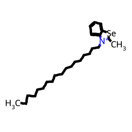 CCCCCCCCCCCCCCCCCC[n+]1c(C)[se]c2ccccc21